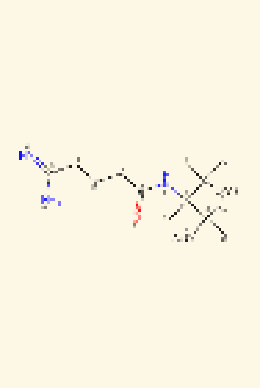 COC(C)(C)C(C)(NC(=O)CCCC(=N)N)C(C)(C)OC(C)=O